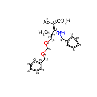 CC(=O)C(C(=O)O)=C(NCc1ccccc1)[C@@H](C)COCOCc1ccccc1